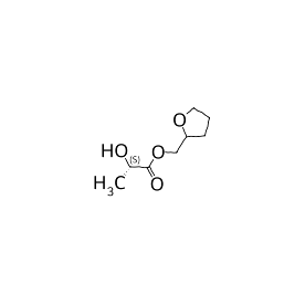 C[C@H](O)C(=O)OCC1CCCO1